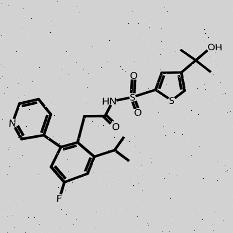 CC(C)c1cc(F)cc(-c2cccnc2)c1CC(=O)NS(=O)(=O)c1cc(C(C)(C)O)cs1